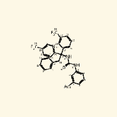 CC(=O)c1cccc(NC(=O)NC(Cc2ccccc2)(c2cccc(C(F)(F)F)c2)c2ccc(C(F)(F)F)cn2)c1